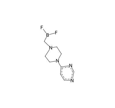 FB(F)CN1CCN(c2ccncn2)CC1